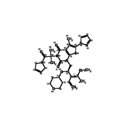 C=C/C(=C(\C)OC)[C@H](Cn1c(=O)n(C(C)(C)C(=O)N2CC=CC2)c(=O)c2c(C)c(-n3cccn3)sc21)OC1CCOCC1